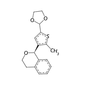 Cc1sc(C2OCCO2)cc1[C@@H]1OCCc2ccccc21